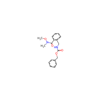 CON(C)C(=O)c1ccccc1CNC(=O)OCc1ccccc1